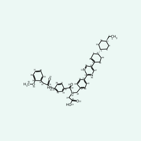 CC[C@H]1CC[C@H](C2CC=C(c3cnc(-c4ccc(CN(CC(=O)O)C(=O)c5ccc(NC(=O)Cc6ccccc6OC)cc5)cc4)nc3)CC2)CC1